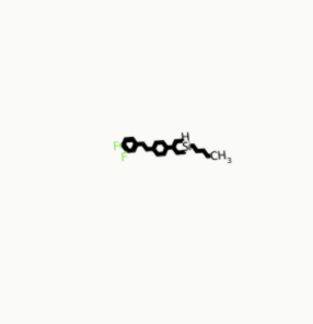 CCCCC[SiH]1CCC(C2CCC(CCc3ccc(F)c(F)c3)CC2)CC1